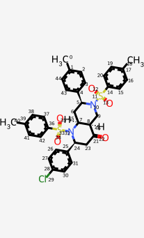 Cc1ccc([C@@H]2C[C@H]3[C@@H](CN2S(=O)(=O)c2ccc(C)cc2)C(=O)C[C@@H](c2ccc(Cl)cc2)N3S(=O)(=O)c2ccc(C)cc2)cc1